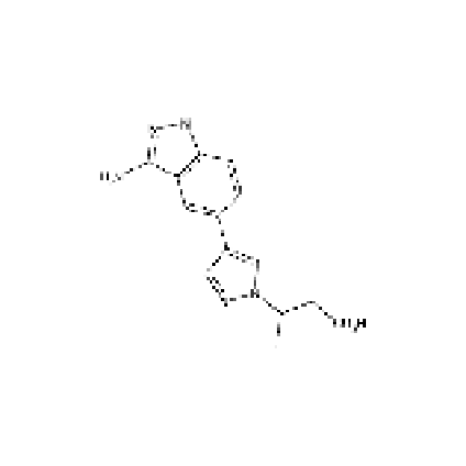 CC(CC(=O)O)n1cc(-c2ccc3[nH]nc(N)c3c2)cn1